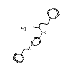 CC(CCc1ccccc1)C(=O)c1ccc(OCc2ccccc2)cc1.Cl